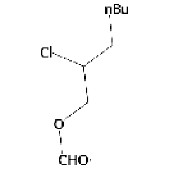 CCCCCC(Cl)CO[C]=O